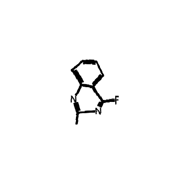 Cc1nc(F)c2ccccc2n1